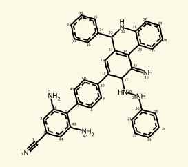 N#Cc1cc(N)c(-c2ccc(C3=CC4=C(C(=N)C3NNc3ccccc3)c3ccccc3NC4c3ccccc3)cc2)c(N)c1